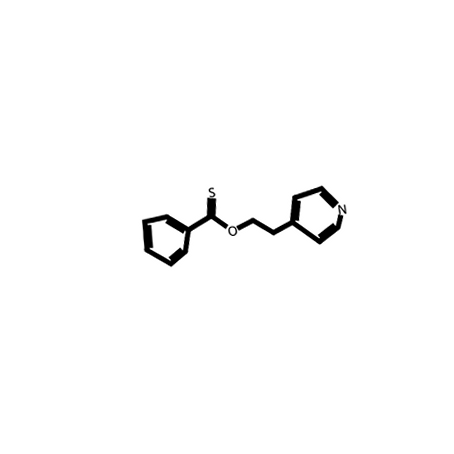 S=C(OCCc1ccncc1)c1ccccc1